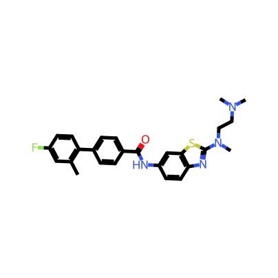 Cc1cc(F)ccc1-c1ccc(C(=O)Nc2ccc3nc(N(C)CCN(C)C)sc3c2)cc1